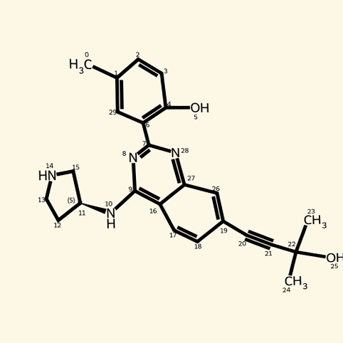 Cc1ccc(O)c(-c2nc(N[C@H]3CCNC3)c3ccc(C#CC(C)(C)O)cc3n2)c1